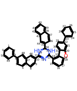 c1ccc(-c2ccc3ccc(C4=NC(c5cccc6oc7cc(-c8ccccc8)ccc7c56)NC(c5ccc6ccccc6c5)N4)cc3c2)cc1